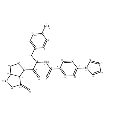 Nc1ccc(CC(NC(=O)c2ccc(-n3ccnc3)cc2)C(=O)N2CCC3OCC(=O)C32)cc1